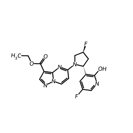 CCOC(=O)c1cnn2ccc(N3C[C@@H](F)C[C@@H]3c3cc(F)cnc3O)nc12